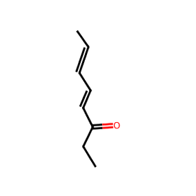 C/C=C/C=C/C(=O)CC